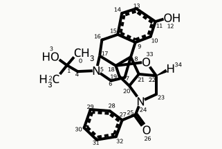 CC(C)(O)CN1CCC23c4cc(O)ccc4CC1C21CC2C3[C@@H](CN2C(=O)c2ccccc2)O1